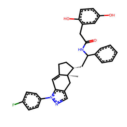 C[C@]12Cc3cnn(-c4ccc(F)cc4)c3C=C1CC[C@@H]2CC(NC(=O)Cc1cc(O)ccc1O)c1ccccc1